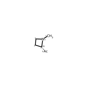 CC(=O)[C@@H]1CCN1C